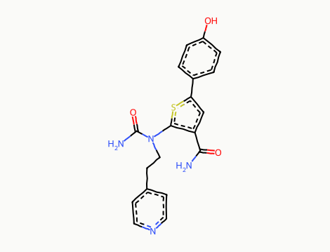 NC(=O)c1cc(-c2ccc(O)cc2)sc1N(CCc1ccncc1)C(N)=O